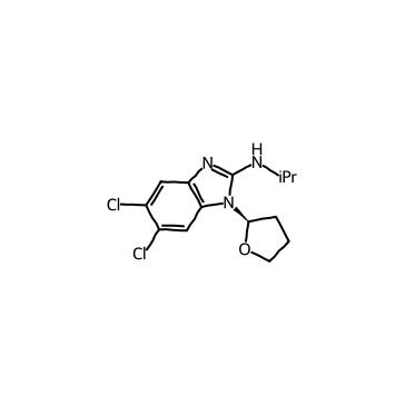 CC(C)Nc1nc2cc(Cl)c(Cl)cc2n1[C@H]1CCCO1